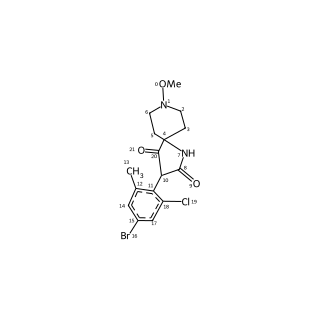 CON1CCC2(CC1)NC(=O)C(c1c(C)cc(Br)cc1Cl)C2=O